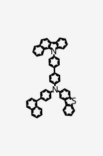 c1ccc2c(-c3ccc(N(c4ccc(-c5ccc(-n6c7ccccc7c7ccc8ccccc8c76)cc5)cc4)c4ccc5sc6ccccc6c5c4)cc3)cccc2c1